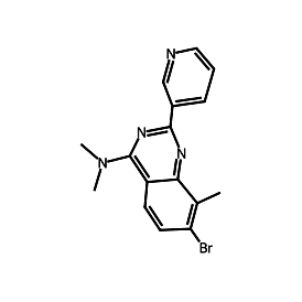 Cc1c(Br)ccc2c(N(C)C)nc(-c3cccnc3)nc12